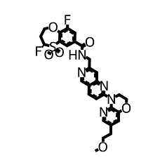 COCCc1cnc2c(c1)OCCN2c1ccc2cnc(CNC(=O)c3cc(F)c4c(c3)S(=O)(=O)[C@@H](F)CCO4)cc2n1